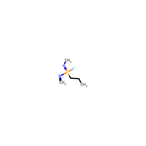 C=NP(F)(CCC)=NC